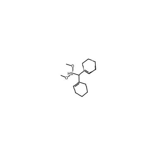 CO[SiH](OC)C(C1=CCCCC1)C1=CCCCC1